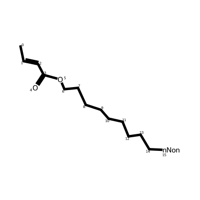 CC=CC(=O)OCCCCCCCCCCCCCCCCCC